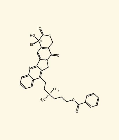 CC[C@@]1(O)C(=O)OCc2c1cc1n(c2=O)Cc2c-1nc1ccccc1c2CC[Si](C)(C)CCCOC(=O)c1ccccc1